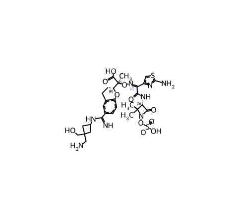 CC1(C)[C@H](NC(=O)/C(=N\O[C@](C)(C(=O)O)[C@H]2CCc3cc(C(=N)NC4CC(CN)(CO)C4)ccc3O2)c2csc(N)n2)C(=O)N1OS(=O)(=O)O